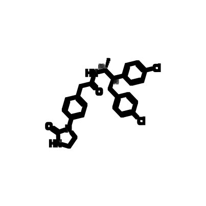 C[C@@H](NC(=O)Cc1ccc(N2CCNC2=O)cc1)[C@H](Cc1ccc(Cl)cc1)c1ccc(Cl)cc1